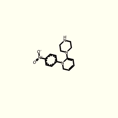 O=[N+]([O-])c1ccc(N2CC=CC=C2N2CCNCC2)cc1